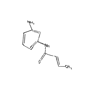 C/C=C/C(=O)Nc1cccc(N)c1